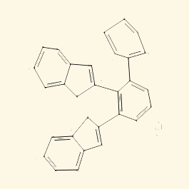 C1=C(c2cccc(-c3ccccc3)c2C2=Cc3ccccc3C2)Cc2ccccc21.[Zr]